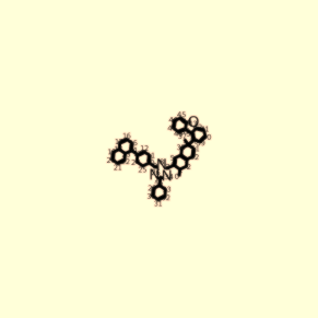 CC1CC2=C(C=C1c1nc(C3=CC=C(C4=CC=CC5C=CC=CC45)CC3)nc(C3C=CC=CC3)n1)CC(C)(c1cccc3oc4ccccc4c13)C=C2